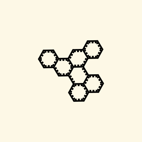 c1ccc2c(c1)cc1c3cccc4cccc(c43)c3c4ccccc4cc2c13